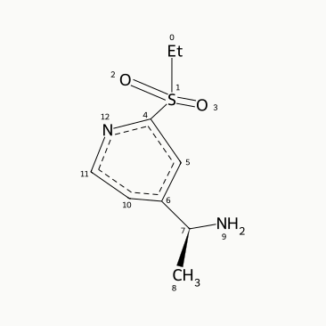 CCS(=O)(=O)c1cc([C@H](C)N)ccn1